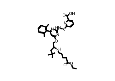 CCOC(=O)CCCCNC(COc1cc(-c2c(C)cccc2C)nc(NSc2cccc(C(=O)O)n2)n1)CC(C)(C)C